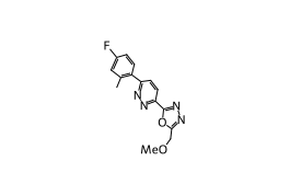 COCc1nnc(-c2ccc(-c3ccc(F)cc3C)nn2)o1